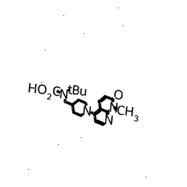 Cn1c(=O)ccc2c(N3CCC(CN(C(=O)O)C(C)(C)C)CC3)ccnc21